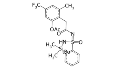 CC(=O)Oc1cc(C(F)(F)F)cc(C)c1CC(=O)N=S(=O)(N[Si](C)(C)C(C)(C)C)c1ccccc1